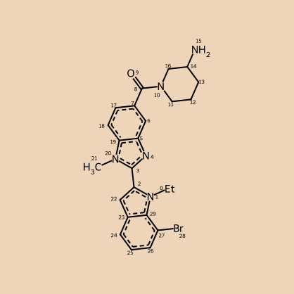 CCn1c(-c2nc3cc(C(=O)N4CCCC(N)C4)ccc3n2C)cc2cccc(Br)c21